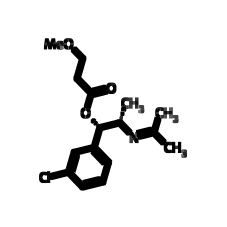 COCCC(=O)O[C@@H](c1cccc(Cl)c1)[C@H](C)N=C(C)C